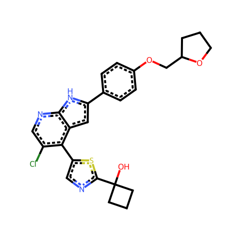 OC1(c2ncc(-c3c(Cl)cnc4[nH]c(-c5ccc(OCC6CCCO6)cc5)cc34)s2)CCC1